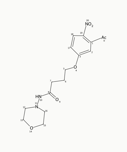 CC(=O)c1cc(OCCCC(=O)NN2CCOCC2)ccc1[N+](=O)[O-]